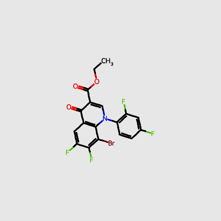 CCOC(=O)c1cn(-c2ccc(F)cc2F)c2c(Br)c(F)c(F)cc2c1=O